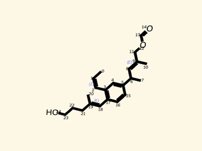 C/C=C\c1cc(C(C)/C=C(\C)COC=O)ccc1/C=C(\C)CCCO